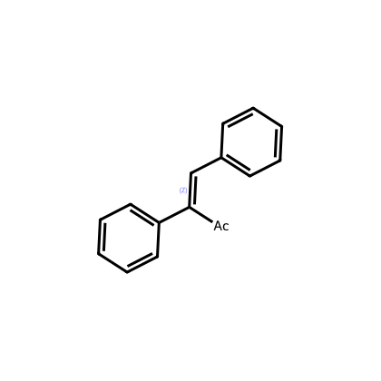 CC(=O)/C(=C\c1ccccc1)c1ccccc1